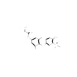 CS(=O)(=O)c1cc(Oc2c(Cl)cc(NC(=O)CC(=O)O)cc2Cl)ccc1O